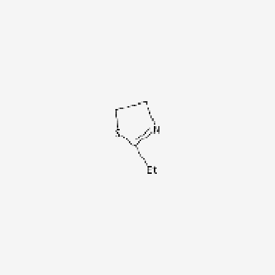 [CH2]CC1=NCCS1